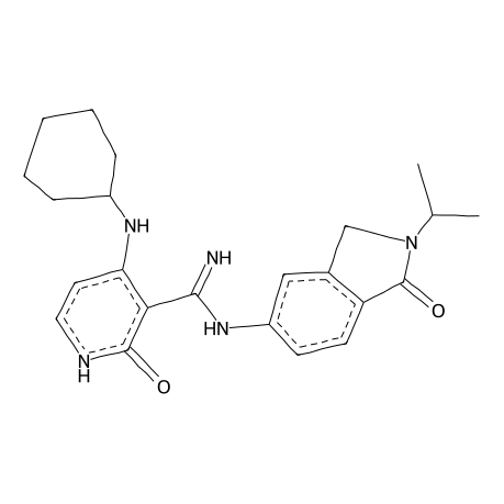 CC(C)N1Cc2cc(NC(=N)c3c(NC4CCCCC4)cc[nH]c3=O)ccc2C1=O